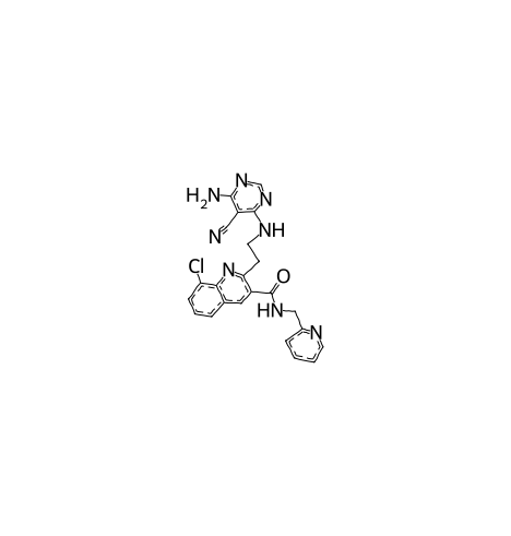 N#Cc1c(N)ncnc1NCCc1nc2c(Cl)cccc2cc1C(=O)NCc1ccccn1